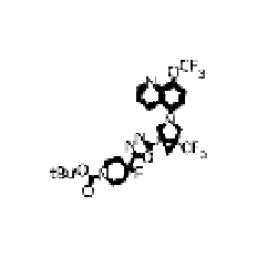 CC(C)(C)OC(=O)N1CCC(F)(c2nnc([C@]34CN(c5ccc(OC(F)(F)F)c6ncccc56)C[C@@]3(C(F)(F)F)C4)o2)CC1